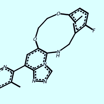 Cc1cccnc1-c1cc2c(n3cnnc13)NCc1c(F)ccc(c1C)OCCO2